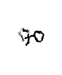 C=CC1(c2ccccc2)N=NN=N1